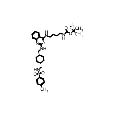 Cc1ccc(S(=O)(=O)NC[C@H]2CC[C@H](CNc3nc(NCCCCNC(=O)OC(C)(C)C)c4ccccc4n3)CC2)cc1